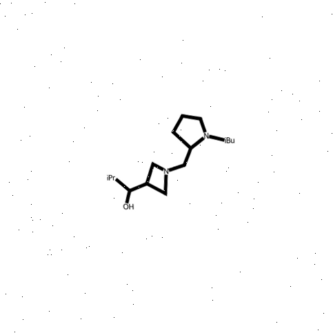 CCC(C)N1CCCC1CN1CC(C(O)C(C)C)C1